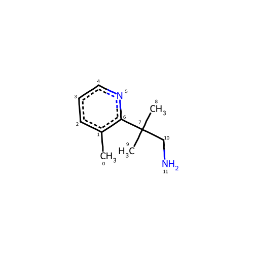 Cc1cccnc1C(C)(C)CN